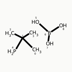 CC(C)(C)P.OB(O)O